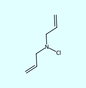 C=CCN(Cl)CC=C